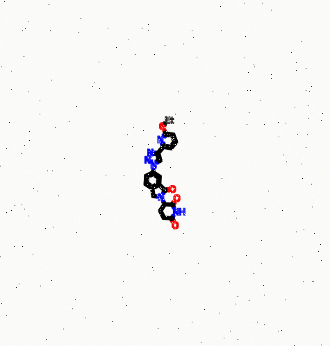 CCOc1cccc(-c2cn(-c3ccc4c(c3)C(=O)N(C3CCC(=O)NC3=O)C4)nn2)n1